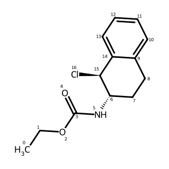 CCOC(=O)N[C@H]1CCc2ccccc2[C@@H]1Cl